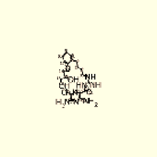 N=C(NCCCCc1ccccc1OCC(O)CO)NC(=O)c1nc(Cl)c(N)nc1N